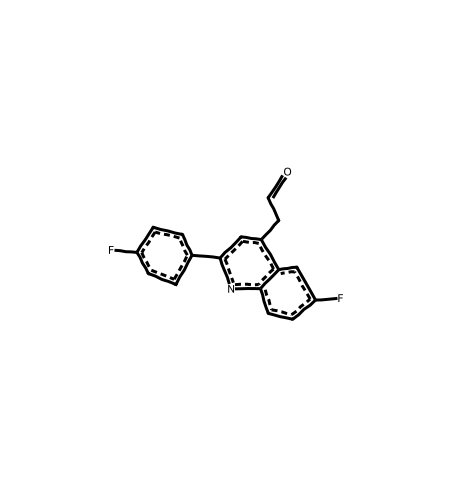 O=CCc1cc(-c2ccc(F)cc2)nc2ccc(F)cc12